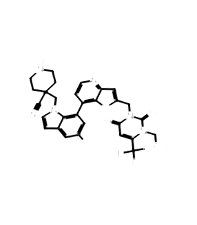 CCn1c(C(F)(F)F)cc(=O)n(Cc2cc3nccc(-c4cc(Cl)cc5ccn(CC6(C#N)CCNCC6)c45)c3s2)c1=O